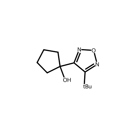 CC(C)(C)c1nonc1C1(O)CCCC1